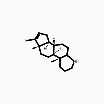 C[C@]12CCCNC1CC[C@@H]1[C@@H]2CC[C@]2(C)C(I)=CC[C@@H]12